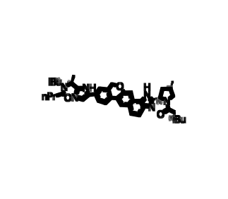 CCCC(=O)N([C@@H](C)CC)[C@@H](C)c1ncc(-c2ccc3c(c2)COc2cc4c(ccc5nc([C@@H]6C[C@H](C)CN6C(=O)C[C@@H](C)CC)[nH]c54)cc2-3)[nH]1